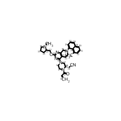 C=CC(=O)N1CCN(c2nc(OCC3CCCN3C)nc3c2CCN(c2cccc4cccc(C)c24)C3)C[C@@H]1CC#N